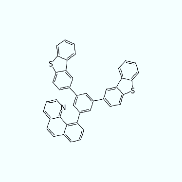 c1cnc2c(c1)ccc1cccc(-c3cc(-c4ccc5sc6ccccc6c5c4)cc(-c4ccc5sc6ccccc6c5c4)c3)c12